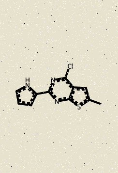 Cc1cc2c(Cl)nc(-c3ccc[nH]3)nc2s1